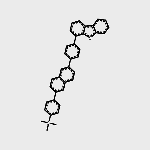 C[Si](C)(C)c1ccc(-c2ccc3cc(-c4ccc(-c5cccc6c5sc5ccccc56)cc4)ccc3c2)cc1